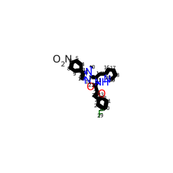 Cn1c(-c2ccc([N+](=O)[O-])cc2)cnc1C(Cc1ccccn1)NC(=O)c1cc2cc(F)ccc2o1